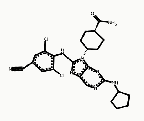 N#Cc1cc(Cl)c(Nc2nc3cnc(NC4CCCC4)nc3n2[C@H]2CC[C@H](C(N)=O)CC2)c(Cl)c1